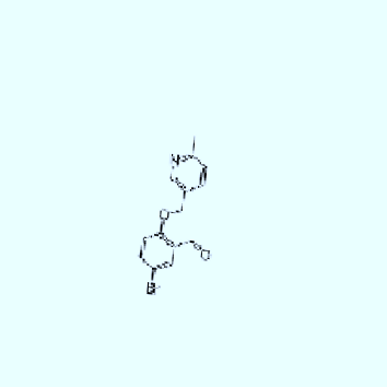 Cc1ccc(COc2ccc(Br)cc2C=O)cn1